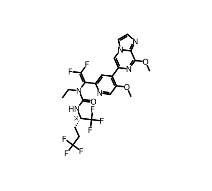 CCN(C(=O)N[C@@H](CCC(F)(F)F)C(F)(F)F)C(=C(F)F)c1cc(-c2cn3ccnc3c(OC)n2)c(OC)cn1